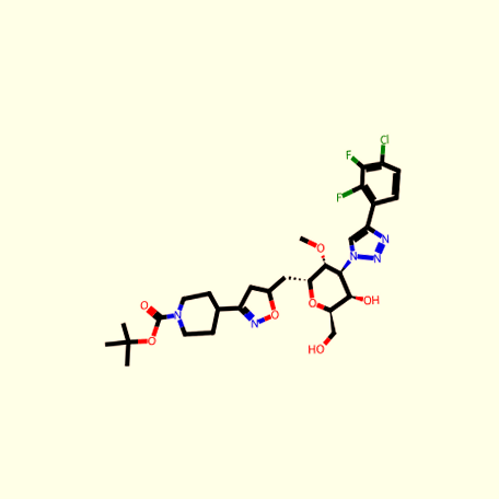 CO[C@@H]1[C@@H](n2cc(-c3ccc(Cl)c(F)c3F)nn2)[C@@H](O)[C@@H](CO)O[C@@H]1CC1CC(C2CCN(C(=O)OC(C)(C)C)CC2)=NO1